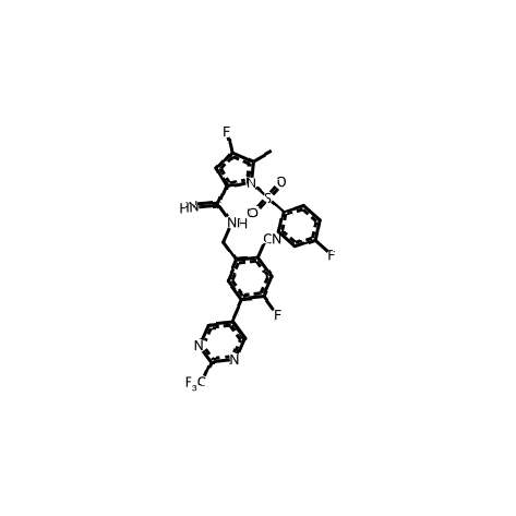 Cc1c(F)cc(C(=N)NCc2cc(-c3cnc(C(F)(F)F)nc3)c(F)cc2C#N)n1S(=O)(=O)c1ccc(F)cc1